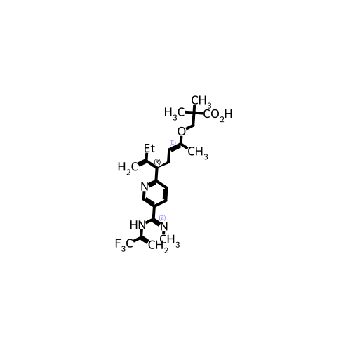 C=C(CC)[C@@H](C/C=C(\C)OCC(C)(C)C(=O)O)c1ccc(/C(=N/C)NC(=C)C(F)(F)F)cn1